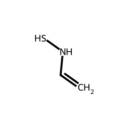 C=CNS